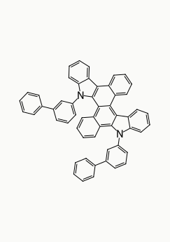 c1ccc(-c2cccc(-n3c4ccccc4c4c5c6ccccc6c6c7ccccc7n(-c7cccc(-c8ccccc8)c7)c6c5c5ccccc5c43)c2)cc1